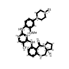 CCN1CCN(c2ccc(Nc3ncc(C(F)(F)F)c(Nc4cccc5c4C(=O)N4CCC[C@H]4CO5)n3)c(OC)c2)CC1